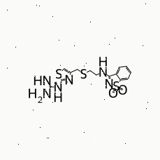 N=C(N)Nc1nc(CSCCNC2=NS(=O)(=O)c3ccccc32)cs1